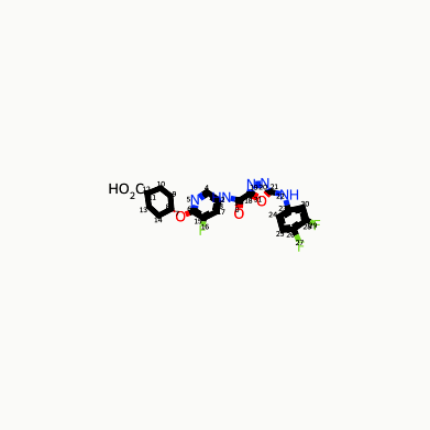 O=C(Nc1cnc(O[C@H]2CC[C@H](C(=O)O)CC2)c(F)c1)c1nnc(Nc2ccc(F)c(F)c2)o1